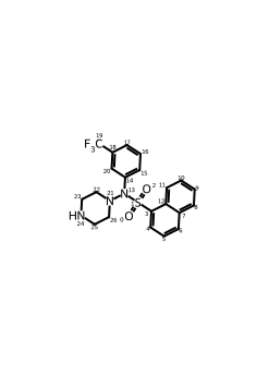 O=S(=O)(c1cccc2ccccc12)N(c1cccc(C(F)(F)F)c1)N1CCNCC1